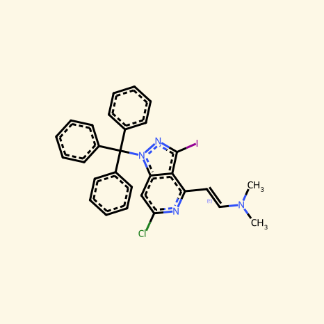 CN(C)/C=C/c1nc(Cl)cc2c1c(I)nn2C(c1ccccc1)(c1ccccc1)c1ccccc1